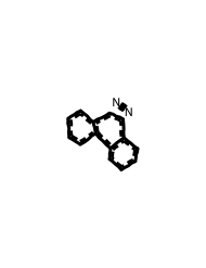 N#N.c1ccc2c(c1)ccc1ccccc12